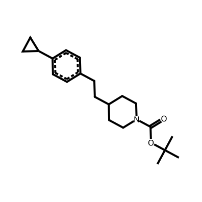 CC(C)(C)OC(=O)N1CCC(CCc2ccc(C3CC3)cc2)CC1